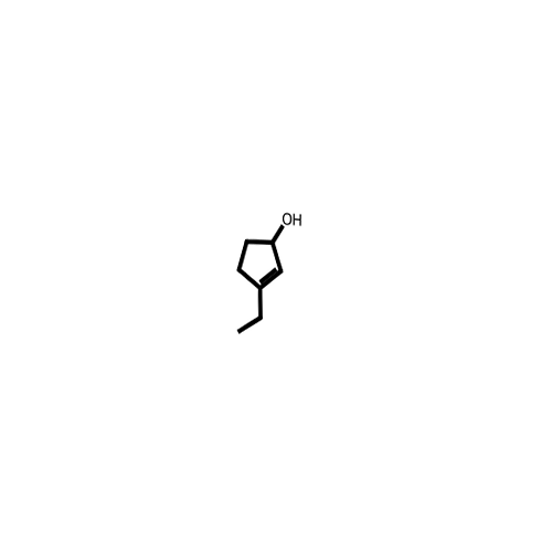 CCC1=CC(O)CC1